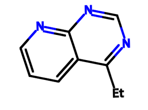 CCc1ncnc2ncccc12